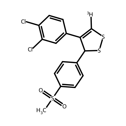 [3H]C1=C(c2ccc(Cl)c(Cl)c2)C(c2ccc(S(C)(=O)=O)cc2)SS1